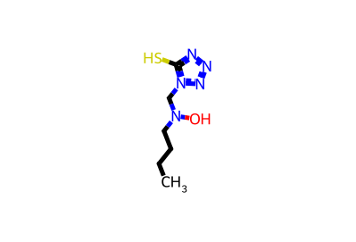 CCCCN(O)Cn1nnnc1S